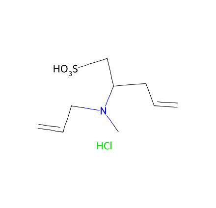 C=CCC(CS(=O)(=O)O)N(C)CC=C.Cl